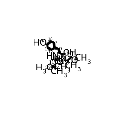 COC(=O)C(C)N[C@H](O)C(Cc1ccc(O)cc1)NC(=O)OC(C)(C)C